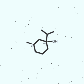 CC(C)[C@]1(O)CCC[C@@H](C)C1